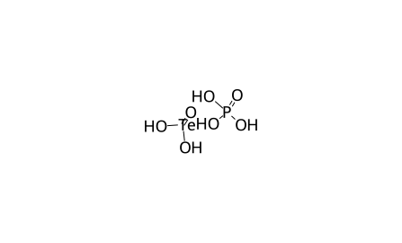 O=P(O)(O)O.O=[Te](O)O